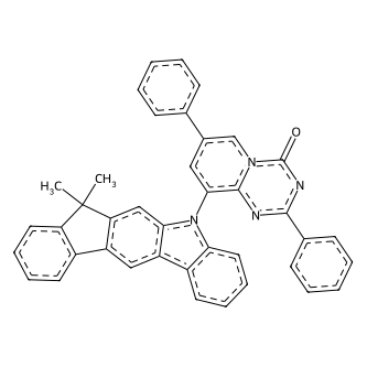 CC1(C)c2ccccc2-c2cc3c4ccccc4n(-c4cc(-c5ccccc5)cn5c(=O)nc(-c6ccccc6)nc45)c3cc21